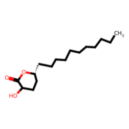 CCCCCCCCCCC[C@@H]1CCC(O)C(=O)O1